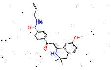 C=CCNC(=O)c1ccc(C(=O)/C=C2\NC(C)(C)Cc3ccc(OC)cc32)cc1